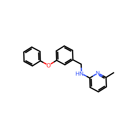 Cc1cccc(NCc2cccc(Oc3ccccc3)c2)n1